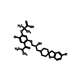 CN(C)C(=O)c1cc(Cl)c(OC(C)(C)C(=O)O)cc1OC[C@@H](O)CN1CCC2(CC1)Cc1cc(Cl)ccc1O2